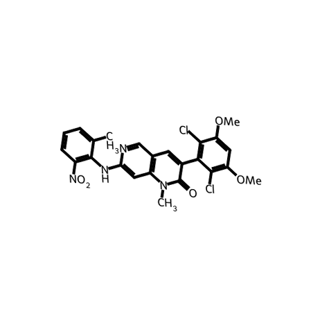 COc1cc(OC)c(Cl)c(-c2cc3cnc(Nc4c(C)cccc4[N+](=O)[O-])cc3n(C)c2=O)c1Cl